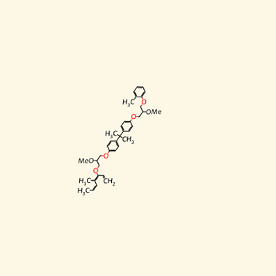 C=C/C(OCC(COc1ccc(C(C)(C)c2ccc(OCC(COc3ccccc3C)OC)cc2)cc1)OC)=C(C)\C=C/C